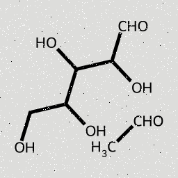 CC=O.O=CC(O)C(O)C(O)CO